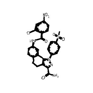 CS(=O)(=O)c1ccc(-n2nc(C(N)=O)c3c2-c2cc(NC(=O)c4ccc([N+](=O)[O-])cc4Cl)ccc2CC3)cc1